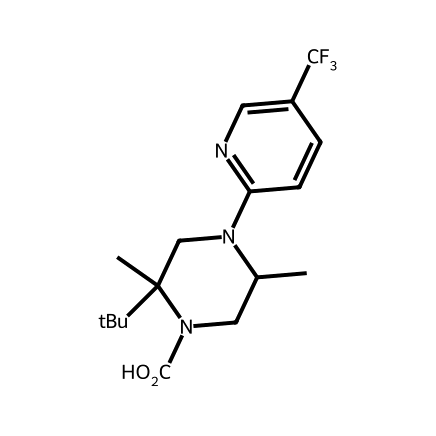 CC1CN(C(=O)O)C(C)(C(C)(C)C)CN1c1ccc(C(F)(F)F)cn1